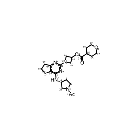 CC(=O)N1CC[C@@H](Nc2nc(N3CC(OC(=O)C4CCOCC4)C3)nc3c2SCC3)C1